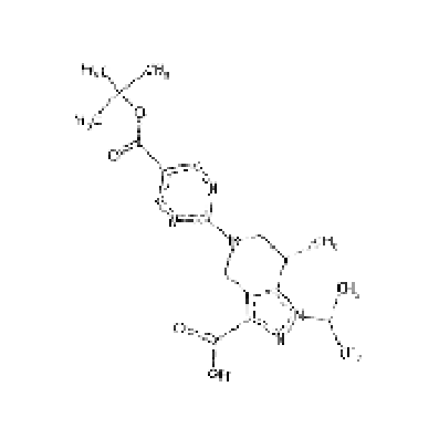 CC(C)n1nc(C(=O)O)c2c1[C@@H](C)CN(c1ncc(C(=O)OC(C)(C)C)cn1)C2